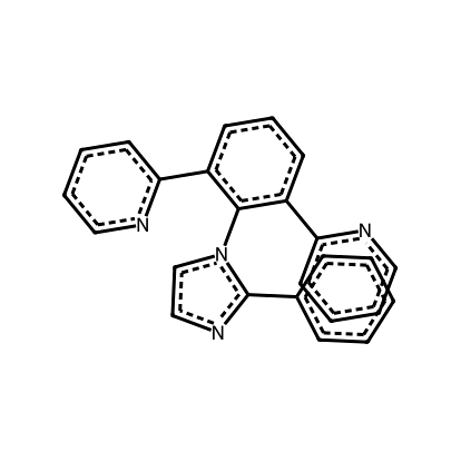 c1ccc(-c2nccn2-c2c(-c3ccccn3)cccc2-c2ccccn2)cc1